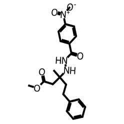 COC(=O)CC(C)(CCc1ccccc1)NNC(=O)c1ccc([N+](=O)[O-])cc1